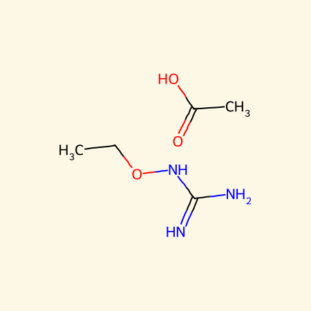 CC(=O)O.CCONC(=N)N